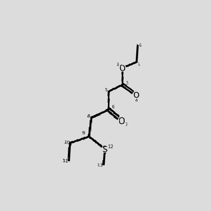 CCOC(=O)CC(=O)CC(CC)SC